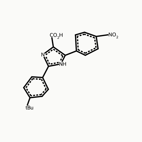 CC(C)(C)c1ccc(-c2nc(C(=O)O)c(-c3ccc([N+](=O)[O-])cc3)[nH]2)cc1